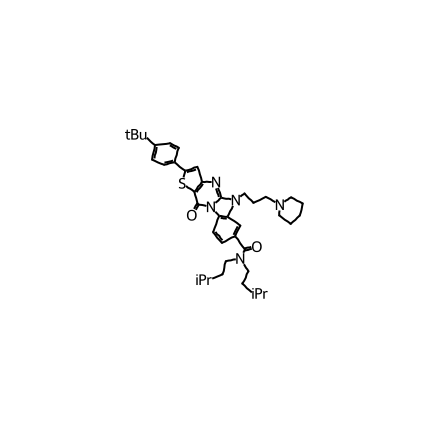 CC(C)CCN(CCC(C)C)C(=O)c1ccc2c(c1)n(CCCN1CCCCC1)c1nc3cc(-c4ccc(C(C)(C)C)cc4)sc3c(=O)n21